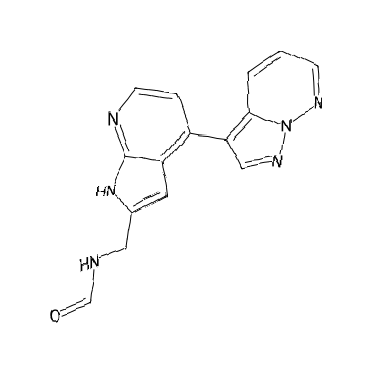 O=CNCc1cc2c(-c3cnn4ncccc34)ccnc2[nH]1